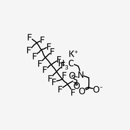 CCN(CC(=O)[O-])S(=O)(=O)C(F)(F)C(F)(F)C(F)(F)C(F)(F)C(F)(F)C(F)(F)C(F)(F)F.[K+]